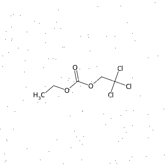 CCOC(=O)OCC(Cl)(Cl)Cl